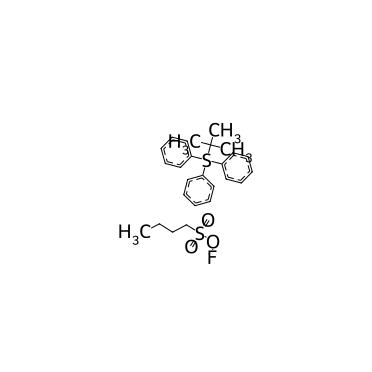 CC(C)(C)S(c1ccccc1)(c1ccccc1)c1ccccc1.CCCCS(=O)(=O)OF